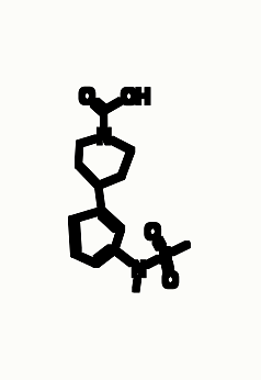 CN(c1cccc(C2CCN(C(=O)O)CC2)c1)S(C)(=O)=O